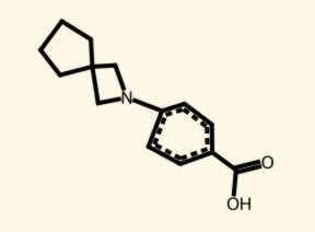 O=C(O)c1ccc(N2CC3(CCCC3)C2)cc1